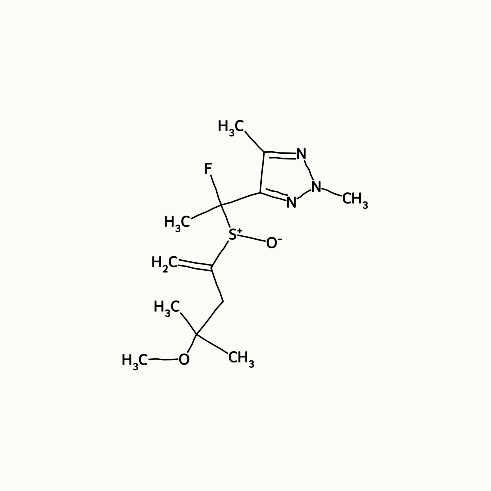 C=C(CC(C)(C)OC)[S+]([O-])C(C)(F)c1nn(C)nc1C